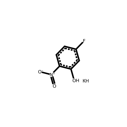 O=[N+]([O-])c1ccc(F)cc1O.[KH]